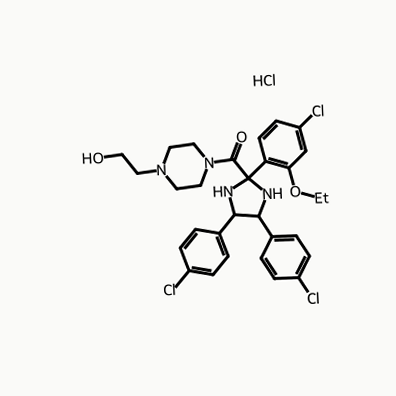 CCOc1cc(Cl)ccc1C1(C(=O)N2CCN(CCO)CC2)NC(c2ccc(Cl)cc2)C(c2ccc(Cl)cc2)N1.Cl